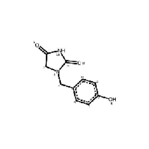 O=C1CN(Cc2ccc(O)cc2)C(=O)N1